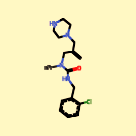 C=C(CN1CCNCC1)CN(CCC)C(=O)NCc1ccccc1Cl